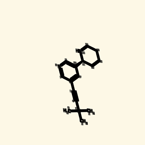 C[Si](C)(C)C#Cc1cncc([C@@H]2CCCCN2)c1